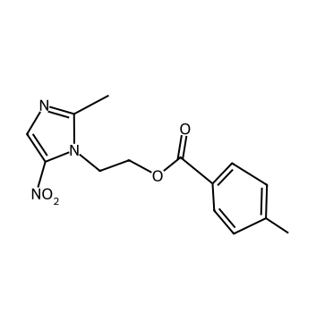 Cc1ccc(C(=O)OCCn2c([N+](=O)[O-])cnc2C)cc1